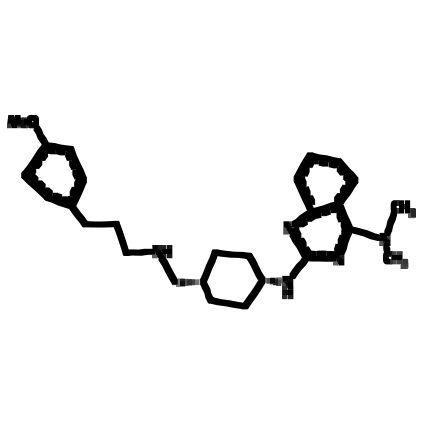 COc1ccc(CCCNC[C@H]2CC[C@@H](Nc3nc(N(C)C)c4ccccc4n3)CC2)cc1